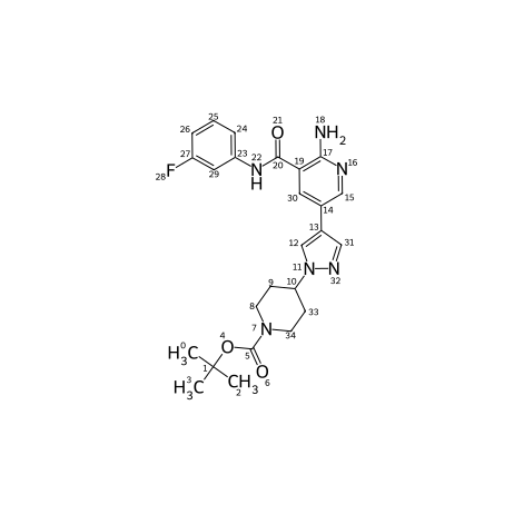 CC(C)(C)OC(=O)N1CCC(n2cc(-c3cnc(N)c(C(=O)Nc4cccc(F)c4)c3)cn2)CC1